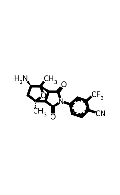 CC12O[C@](C)(C[C@H]1N)C1C(=O)N(c3ccc(C#N)c(C(F)(F)F)c3)C(=O)C12